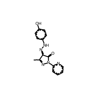 CC1=NN(c2ccccn2)C(=O)/C1=N\Nc1ccc(O)cc1